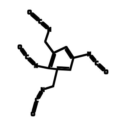 O=C=NCc1cc(N=C=O)cc(CN=C=O)c1N=C=O